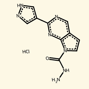 Cl.NNC(=O)n1ccc2cnc(-c3cn[nH]c3)nc21